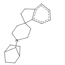 c1ccc2c(c1)CCC21CCN(C2C3CCC2CC3)CC1